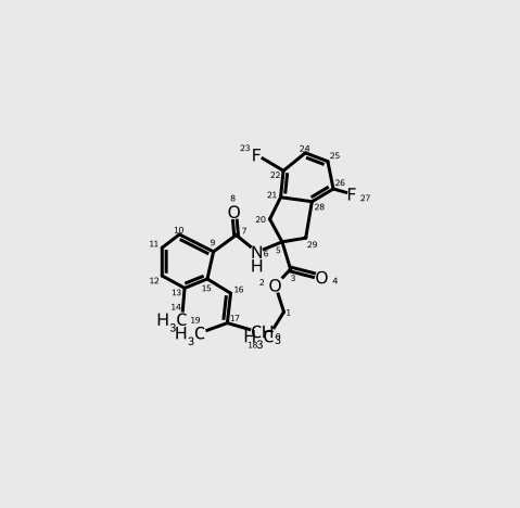 CCOC(=O)C1(NC(=O)c2cccc(C)c2C=C(C)C)Cc2c(F)ccc(F)c2C1